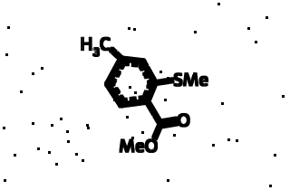 COC(=O)c1ccc(C)cc1SC